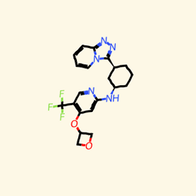 FC(F)(F)c1cnc(N[C@@H]2CCC[C@H](c3nnc4ccccn34)C2)cc1OC1COC1